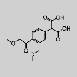 COCC(=O)c1ccc(C(C(=O)O)C(=O)O)cc1COC